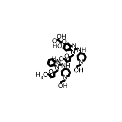 Cc1ccc(Cn2c(NC3CCCN(CCO)CC3)nc3ccccc32)o1.Cc1ccc(Cn2c(NC3CCCN(CCO)CC3)nc3ccccc32)o1.O=C(O)C(=O)O